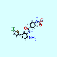 Nc1ccc(-c2ccc(Cl)s2)cc1NC(=O)c1ccc(NC(=O)O)cc1